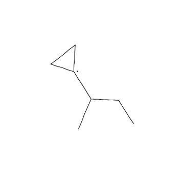 CCC(C)[C]1CC1